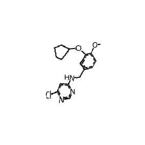 COc1ccc(CNc2cc(Cl)ncn2)cc1OC1CCCC1